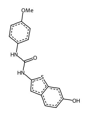 COc1ccc(NC(=O)Nc2cc3ccc(O)cc3s2)cc1